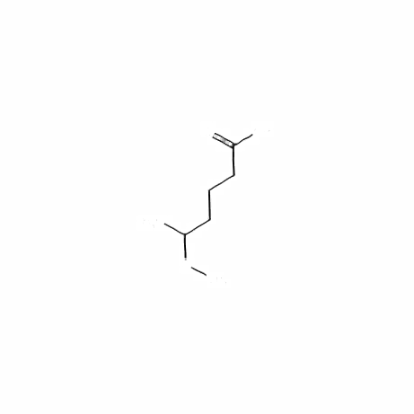 COC(C)CCCC(=O)O